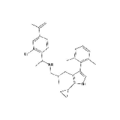 C=C(C)c1ccc(C(C)NCC(C)CC2=C(C3CC3)BC=C2c2c(C)cccc2C)c(CC)c1